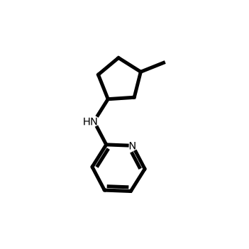 CC1CCC(Nc2ccccn2)C1